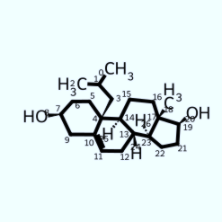 CC(C)C[C@]12CC[C@H](O)CC1=CC[C@@H]1[C@@H]2CC[C@]2(C)[C@@H](O)CC[C@@H]12